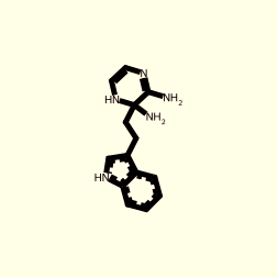 NC1=NC=CNC1(N)CCc1c[nH]c2ccccc12